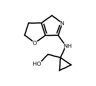 OCC1(NC2=NCC3=C2OCC3)CC1